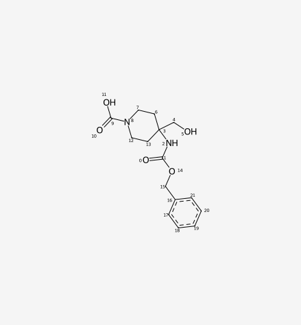 O=C(NC1(CO)CCN(C(=O)O)CC1)OCc1ccccc1